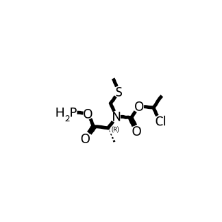 CSCN(C(=O)OC(C)Cl)[C@H](C)C(=O)OP